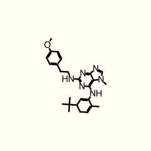 COc1ccc(CCNc2nc(NC3=CC(C(C)(C)C)CC=C3C)c3c(ncn3C)n2)cc1